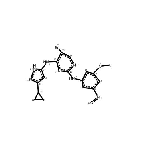 COc1cc(N=O)cc(Nc2ncc(Br)c(Nc3cc(C4CC4)n[nH]3)n2)c1